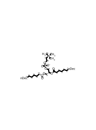 CCCCCCCCCCCCCCCC(=O)O[C@H](CO[14C](=O)CCCCCCCCCCCCCCC)COP(=O)([O-])OCC[N+](C)(C)C